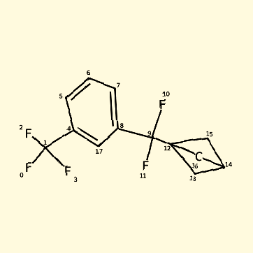 FC(F)(F)c1cccc(C(F)(F)C23CC(C2)C3)c1